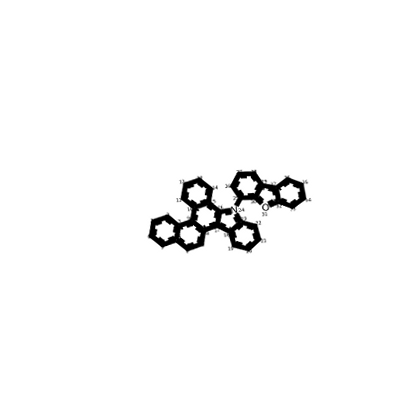 c1ccc2c(c1)ccc1c2c2ccccc2c2c1c1ccccc1n2-c1cccc2c1oc1ccccc12